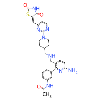 CC(=O)Nc1cccc(-c2nc(N)ccc2CNCC2CCN(c3nccc(C=C4SC(=O)NC4=O)n3)CC2)c1